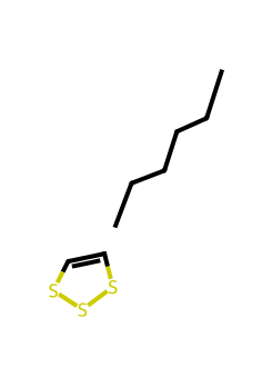 C1=CSSS1.CCCCCC